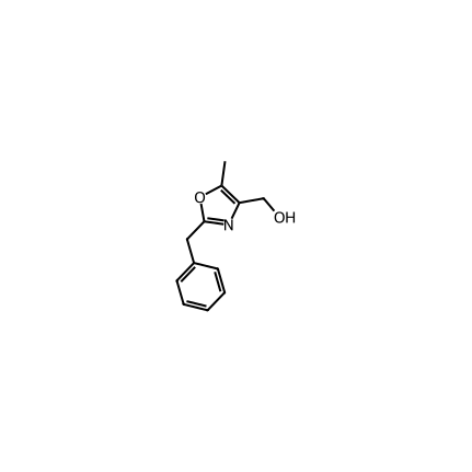 Cc1oc(Cc2ccccc2)nc1CO